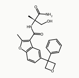 Cc1oc2ccc(C3(c4ccccc4)COC3)cc2c1C(=O)N[C@@](C)(CO)C(N)=O